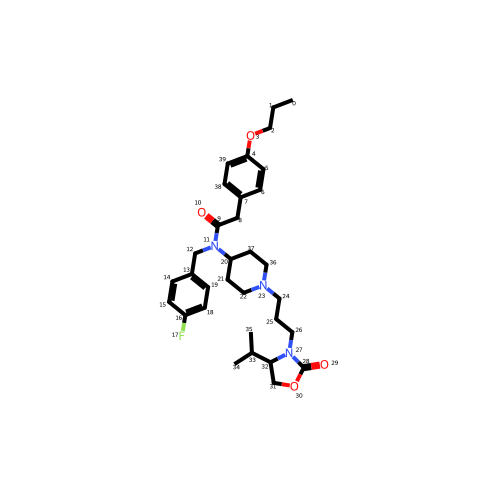 CCCOc1ccc(CC(=O)N(Cc2ccc(F)cc2)C2CCN(CCCN3C(=O)OCC3C(C)C)CC2)cc1